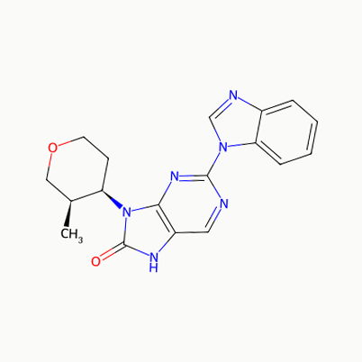 C[C@H]1COCC[C@H]1n1c(=O)[nH]c2cnc(-n3cnc4ccccc43)nc21